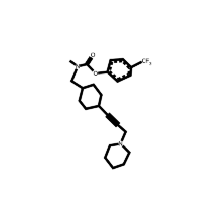 CN(CC1CCC(C#CCN2CCCCC2)CC1)C(=O)Oc1ccc(C(F)(F)F)cc1